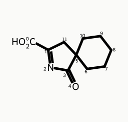 O=C(O)C1=NC(=O)C2(CCCCC2)C1